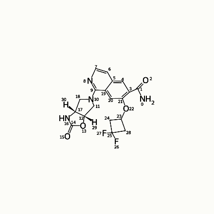 NC(=O)c1cc2ccnc(N3C[C@@H]4OC(=O)N[C@@H]4C3)c2cc1OC1CC(F)(F)C1